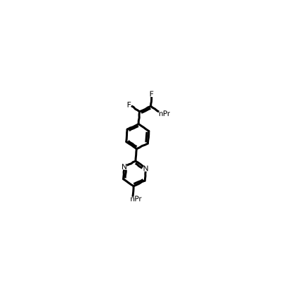 CCC/C(F)=C(/F)c1ccc(-c2ncc(CCC)cn2)cc1